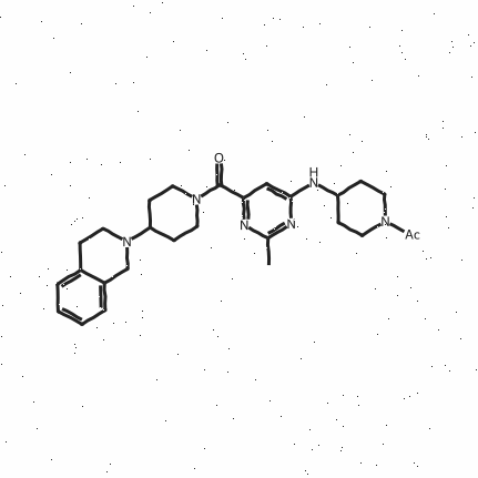 CC(=O)N1CCC(Nc2cc(C(=O)N3CCC(N4CCc5ccccc5C4)CC3)nc(C)n2)CC1